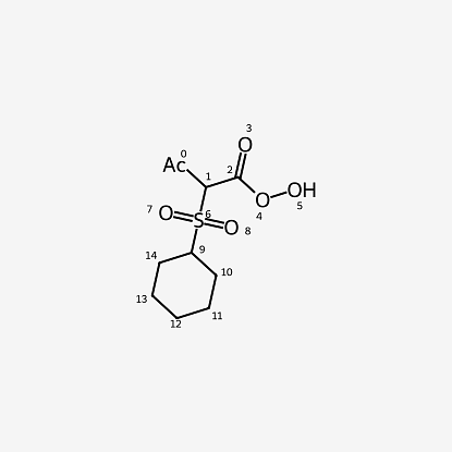 CC(=O)C(C(=O)OO)S(=O)(=O)C1CCCCC1